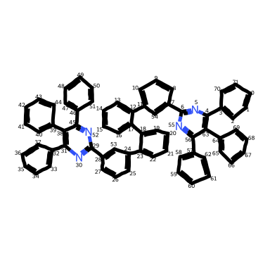 c1ccc(-c2nc(-c3cccc(-c4ccccc4-c4ccccc4-c4cccc(-c5nc(-c6ccccc6)c(-c6ccccc6)c(-c6ccccc6)n5)c4)c3)nc(-c3ccccc3)c2-c2ccccc2)cc1